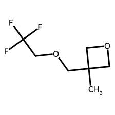 CC1(COCC(F)(F)F)COC1